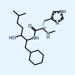 CN[C@@H](Cc1c[nH]cn1)C(=O)NC(CC1CCCCC1)C(O)CCC(C)C